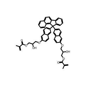 C=C(C)C(=O)OCC(O)COc1ccc2cc(C3(c4ccc5cc(OCC(O)COC(=O)C(=C)C)ccc5c4)c4ccccc4-c4ccc5ccccc5c43)ccc2c1